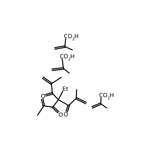 C=C(C)C(=O)C(CC)(C(=O)C(=C)C)C(=O)C(=C)C.C=C(C)C(=O)O.C=C(C)C(=O)O.C=C(C)C(=O)O